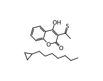 CC(=S)c1c(O)c2ccccc2oc1=O.CCCCCCCC1CC1